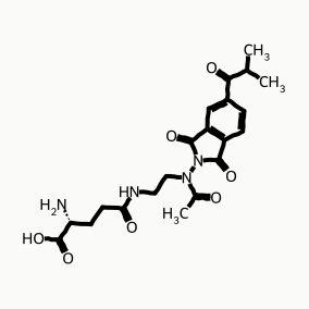 CC(=O)N(CCNC(=O)CC[C@@H](N)C(=O)O)N1C(=O)c2ccc(C(=O)C(C)C)cc2C1=O